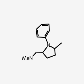 CNCC1CCC(C)N1c1ccccc1